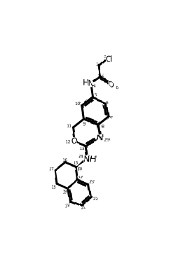 O=C(CCl)Nc1ccc2c(c1)COC(N[C@@H]1CCCc3ccccc31)=N2